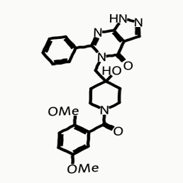 COc1ccc(OC)c(C(=O)N2CCC(O)(Cn3c(-c4ccccc4)nc4[nH]ncc4c3=O)CC2)c1